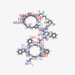 COc1cc2cc(c1Cl)N(C)C(=O)C[C@H](OC(=O)[C@H](C)N(C)C(=O)CCSC1CC(=O)N(CCCNC(=O)[C@H](CC(C)C)NC(=O)[C@H](Cc3ccccc3)NC(=O)CNC(=O)CC[C@H]3C(=O)N[C@@H](Cc4ccc(O)cc4)C(=O)N[C@H](Cc4c[nH]c5ccccc45)C(=O)N[C@@H](CCCCN)C(=O)N[C@@H]([C@@H](C)O)C(O)N[C@@H](Cc4ccccc4)C(=O)N3C)C1=O)[C@]1(C)O[C@H]1[C@H](C)[C@@H]1C[C@@](O)(NC(=O)O1)[C@H](OC)/C=C/C=C(\C)C2